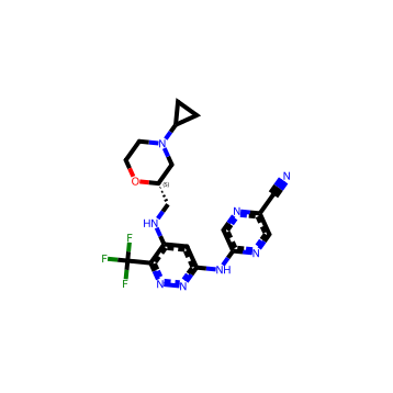 N#Cc1cnc(Nc2cc(NC[C@H]3CN(C4CC4)CCO3)c(C(F)(F)F)nn2)cn1